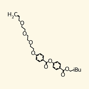 C=CCOCCOCCOCCOc1ccc(C(=O)Oc2ccc(C(=O)OCC(C)CC)cc2)cc1